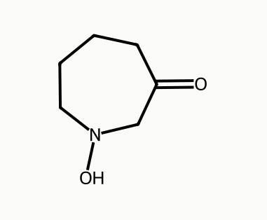 O=C1CCCCN(O)C1